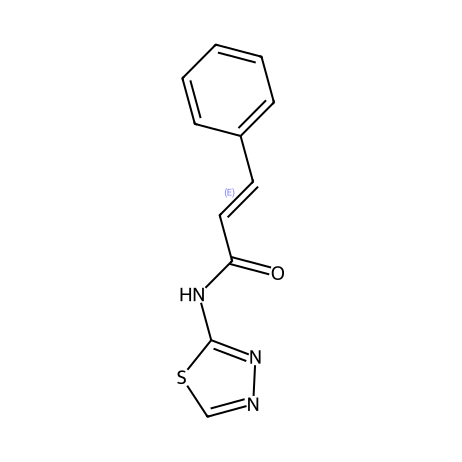 O=C(/C=C/c1ccccc1)Nc1nncs1